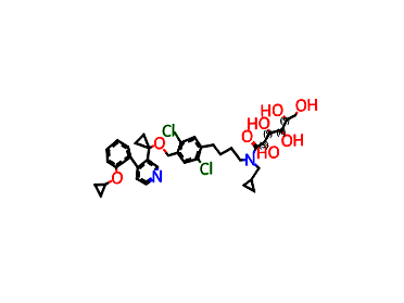 O=C([C@@H](O)[C@@H](O)[C@H](O)[C@@H](O)CO)N(CCCCc1cc(Cl)c(COC2(c3cnccc3-c3ccccc3OC3CC3)CC2)cc1Cl)CC1CC1